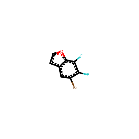 Fc1c(Br)cc2ccoc2c1F